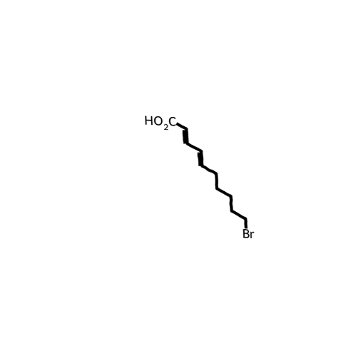 O=C(O)C=CC=CCCCCCBr